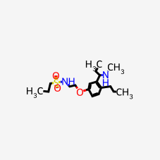 CCCc1ccc(OCCNS(=O)(=O)CCC)cc1C(CC)NC